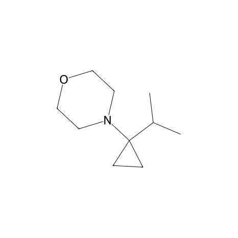 CC(C)C1(N2CCOCC2)CC1